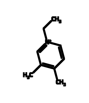 CC[n+]1ccc(C)c(C)c1